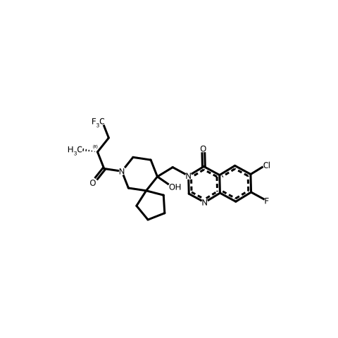 C[C@H](CC(F)(F)F)C(=O)N1CCC(O)(Cn2cnc3cc(F)c(Cl)cc3c2=O)C2(CCCC2)C1